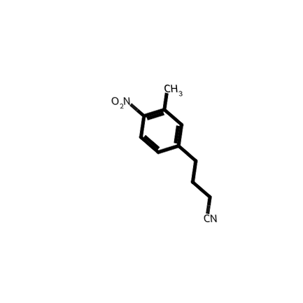 Cc1cc(CCCC#N)ccc1[N+](=O)[O-]